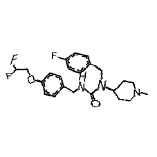 CN1CCC(N(Cc2ccc(F)cc2)C(=O)NCc2ccc(OCC(F)F)cc2)CC1